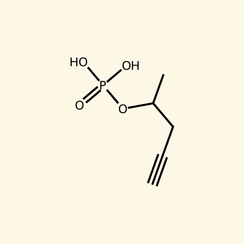 C#CCC(C)OP(=O)(O)O